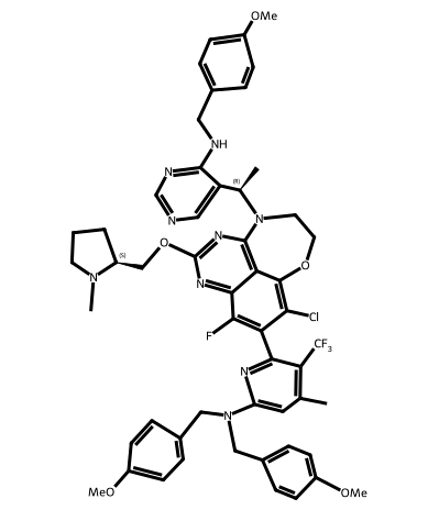 COc1ccc(CNc2ncncc2[C@@H](C)N2CCOc3c(Cl)c(-c4nc(N(Cc5ccc(OC)cc5)Cc5ccc(OC)cc5)cc(C)c4C(F)(F)F)c(F)c4nc(OC[C@@H]5CCCN5C)nc2c34)cc1